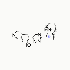 C[C@]12CCC[C@](C)(N1)[C@@H](F)/C(=C/c1ncc(-c3cc4ccncc4cc3O)nn1)C2